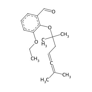 CCOc1cccc(C=O)c1OC(C)(C)CC=C=C(C)C